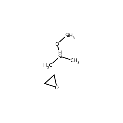 C1CO1.C[SiH](C)O[SiH3]